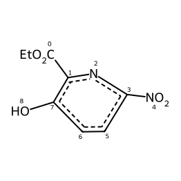 CCOC(=O)c1nc([N+](=O)[O-])ccc1O